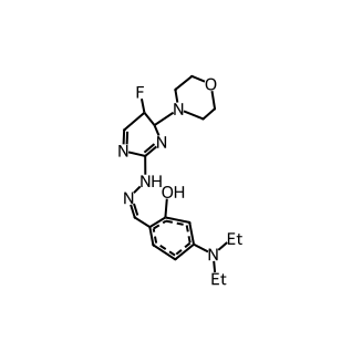 CCN(CC)c1ccc(/C=N\NC2=NC(N3CCOCC3)C(F)C=N2)c(O)c1